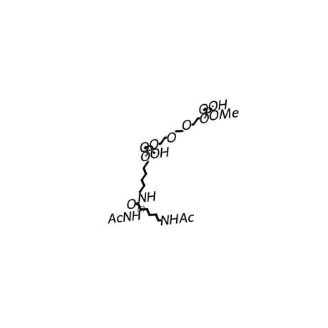 COP(=O)(O)OCCOCCOCCOP(=O)(O)OCCCCCCNC(=O)[C@H](CCCCNC(C)=O)NC(C)=O